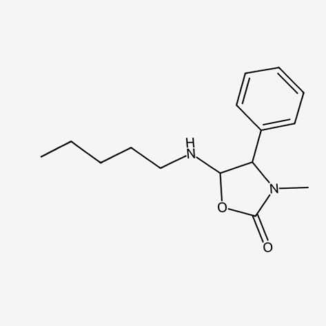 CCCCCNC1OC(=O)N(C)C1c1ccccc1